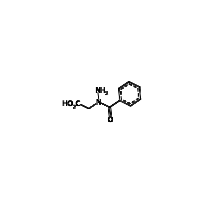 NN(CC(=O)O)C(=O)c1ccccc1